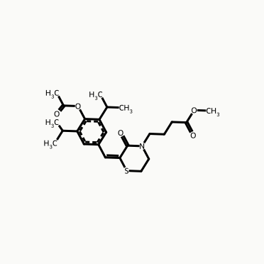 COC(=O)CCCN1CCS/C(=C/c2cc(C(C)C)c(OC(C)=O)c(C(C)C)c2)C1=O